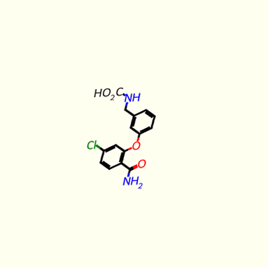 NC(=O)c1ccc(Cl)cc1Oc1cccc(CNC(=O)O)c1